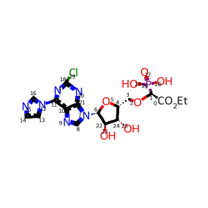 CCOC(=O)[C@@H](OC[C@H]1O[C@@H](n2cnc3c(-n4ccnc4)nc(Cl)nc32)[C@H](O)[C@H]1O)P(=O)(O)O